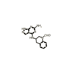 Nc1nc(NC2Cc3ccccc3N(C=O)C2)c2cn[nH]c2n1